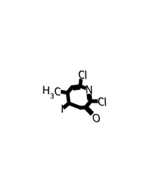 CC1/C=C(Cl)\N=C(\Cl)C(=O)CC1I